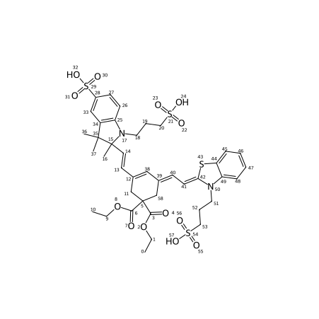 CCOC(=O)C1(C(=O)OCC)CC(/C=C/C2(C)N(CCCS(=O)(=O)O)c3ccc(S(=O)(=O)O)cc3C2(C)C)=CC(=C/C=C2\Sc3ccccc3N2CCCS(=O)(=O)O)/C1